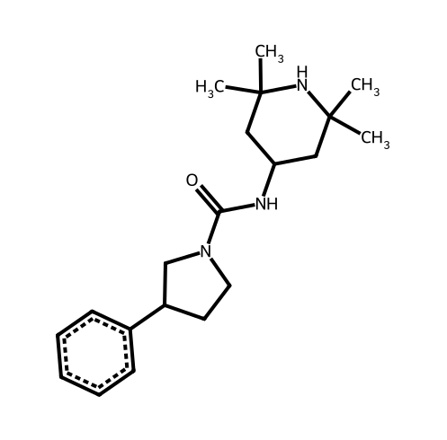 CC1(C)CC(NC(=O)N2CCC(c3ccccc3)C2)CC(C)(C)N1